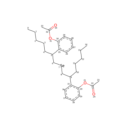 CCCCCC(C[Se]CC(CCCCC)c1ccccc1OC(C)=O)c1ccccc1OC(C)=O